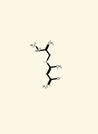 C=C(Cl)/C=C(\C)SCC(=C)NC